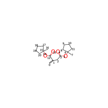 C=C(CC(=O)OC1(C)CCCC1)C(=O)OC1(C)CCCC1